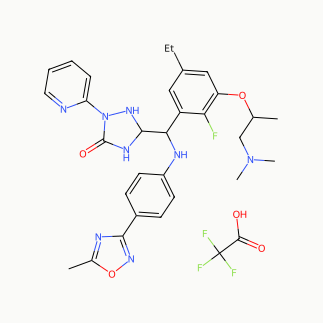 CCc1cc(OC(C)CN(C)C)c(F)c(C(Nc2ccc(-c3noc(C)n3)cc2)C2NC(=O)N(c3ccccn3)N2)c1.O=C(O)C(F)(F)F